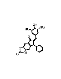 CC(C)(C)c1cc(C=C2C(=O)C3=C(CC4NC(=O)OC4=C3)C2c2ccccc2)cc(C(C)(C)C)c1O